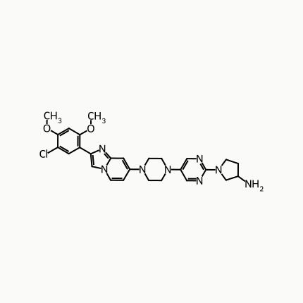 COc1cc(OC)c(-c2cn3ccc(N4CCN(c5cnc(N6CCC(N)C6)nc5)CC4)cc3n2)cc1Cl